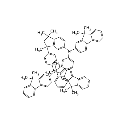 CC1(C)CC(C)(c2ccc(N(c3ccc4c(c3)C(C)(C)c3ccccc3-4)c3ccc4c(c3)C(C)(C)c3ccccc3-4)cc2)c2cc(N(c3ccc4c(c3)C(C)(C)c3ccccc3-4)c3ccc4c(c3)C(C)(C)c3ccccc3-4)ccc21